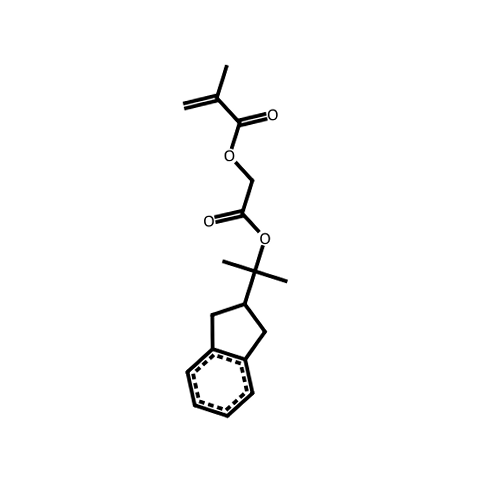 C=C(C)C(=O)OCC(=O)OC(C)(C)C1Cc2ccccc2C1